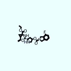 C=CC1CC1(NC(=O)[C@@H]1C[C@@H](OC(=O)N2Cc3cccc(F)c3C2)CN1)C(=O)OCC